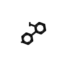 Ic1ccccc1-c1cc[c]cc1